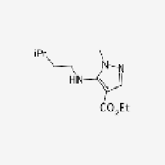 CCOC(=O)c1cnn(C)c1NCCC(C)C